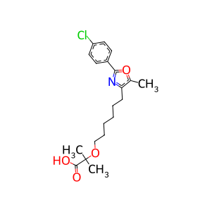 Cc1oc(-c2ccc(Cl)cc2)nc1CCCCCCOC(C)(C)C(=O)O